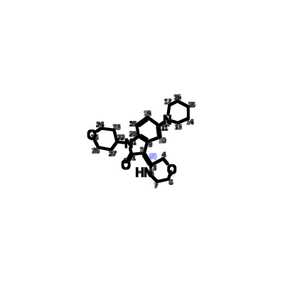 O=C1/C(=C2/COCCN2)c2cc(N3CCCCC3)ccc2N1C1CCOCC1